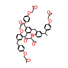 CC(c1ccc(OCC2CO2)cc1)c1ccc(OCC2CO2)c(Cc2cc(Cc3ccc(OCC4CO4)cc3)cc(Cc3cc(Cc4ccc(OCC5CO5)cc4)ccc3OCC3CO3)c2OCC2CO2)c1